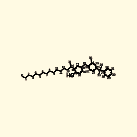 CCCCCCCCCCCCCCC(C)c1cc(Cc2ccc(C(C)(C)c3ccccc3)cc2C)ccc1O